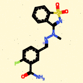 CN(/N=C/c1ccc(F)c(C(N)=O)c1)C1=NS(=O)(=O)c2ccccc21